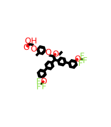 CCOC(COc1ccc(OCC(=O)O)c(C)c1)=C(c1ccc(-c2cccc(OC(F)(F)F)c2)cc1)c1ccc(-c2cccc(OC(F)(F)F)c2)cc1